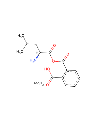 CC(C)C[C@H](N)C(=O)OC(=O)c1ccccc1C(=O)O.[MgH2]